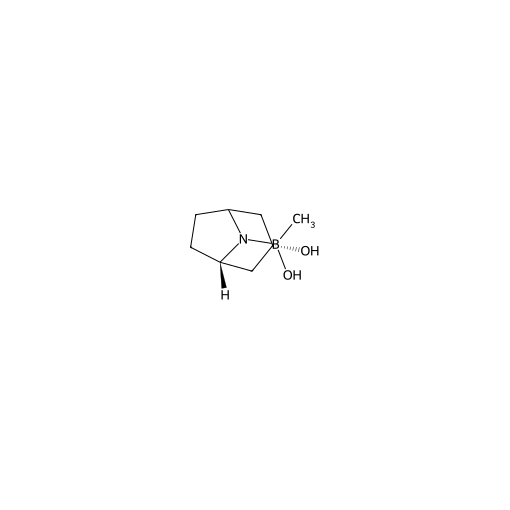 CB(O)N1C2CC[C@H]1C[C@@H](O)C2